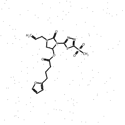 C=CCN1CC(OC(=O)CCCc2ccco2)N(c2nnc(S(C)(=O)=O)s2)C1=O